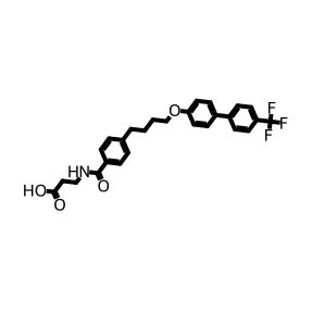 O=C(O)CCNC(=O)c1ccc(CCCCOc2ccc(-c3ccc(C(F)(F)F)cc3)cc2)cc1